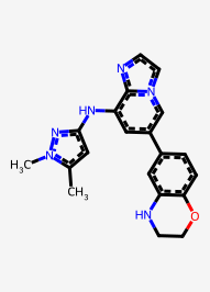 Cc1cc(Nc2cc(-c3ccc4c(c3)NCCO4)cn3ccnc23)nn1C